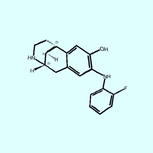 Oc1cc2c(cc1Nc1ccccc1F)C[C@@H]1NCC[C@]23CCCC[C@H]13